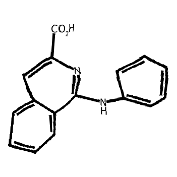 O=C(O)c1cc2ccccc2c(Nc2ccccc2)n1